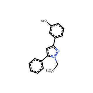 CCOC(=O)Cn1nc(-c2cccc(OC(C)=O)c2)cc1-c1ccccc1